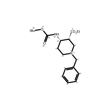 CCOC(=O)[C@@H]1CN(Cc2ccccc2)CC[C@@H]1NC(=O)OC(C)(C)C